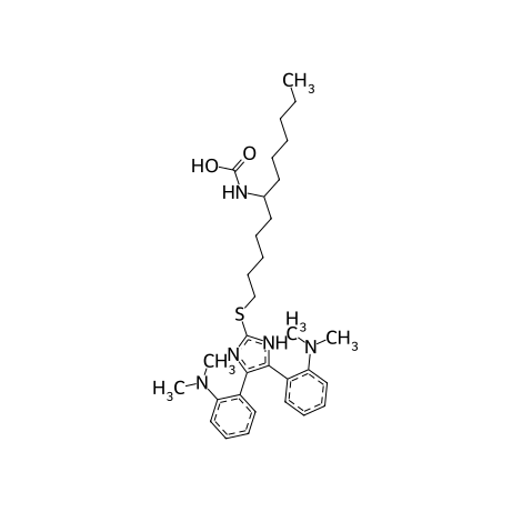 CCCCCCC(CCCCCSc1nc(-c2ccccc2N(C)C)c(-c2ccccc2N(C)C)[nH]1)NC(=O)O